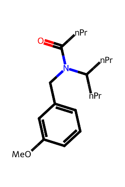 CCCC(=O)N(Cc1cccc(OC)c1)C(CCC)CCC